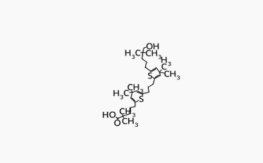 CC1(C)C=C(CCCC2=CC(C)(C)C=C(CCCC(C)(C)C(=O)O)S2)SC(CCCC(C)(C)CO)=C1